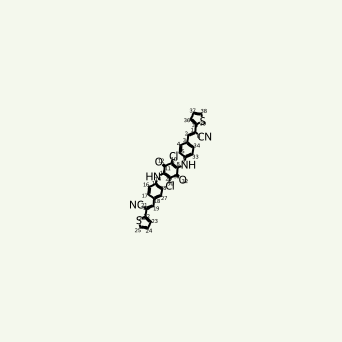 N#C/C(=C\c1ccc(NC2=C(Cl)C(=O)C(Nc3ccc(/C=C(\C#N)c4cccs4)cc3)=C(Cl)C2=O)cc1)c1cccs1